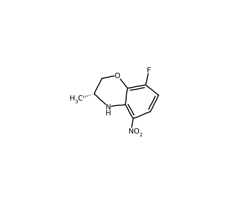 C[C@@H]1COc2c(F)ccc([N+](=O)[O-])c2N1